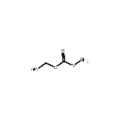 CCCCOC(=O)[N]N